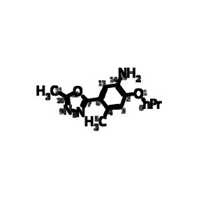 CCCOc1cc(C)c(-c2nnc(C)o2)cc1N